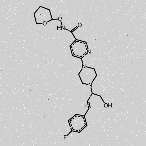 O=C(NOC1CCCCO1)c1ccc(N2CCN(C(/C=C/c3ccc(F)cc3)CO)CC2)nc1